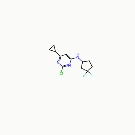 FC1(F)CCC(Nc2cc(C3CC3)nc(Cl)n2)C1